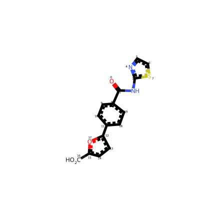 O=C(Nc1nccs1)c1ccc(-c2ccc(C(=O)O)o2)cc1